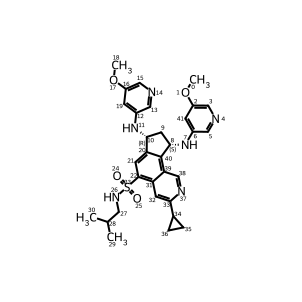 COc1cncc(N[C@H]2C[C@@H](Nc3cncc(OC)c3)c3cc(S(=O)(=O)NCC(C)C)c4cc(C5CC5)ncc4c32)c1